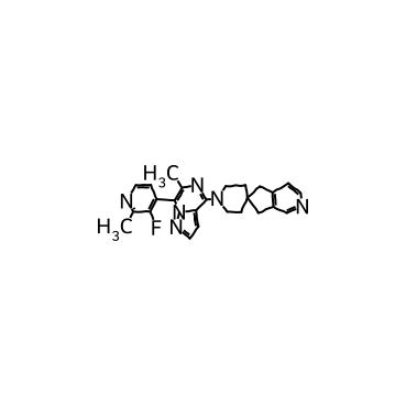 Cc1nccc(-c2c(C)nc(N3CCC4(CC3)Cc3ccncc3C4)c3ccnn23)c1F